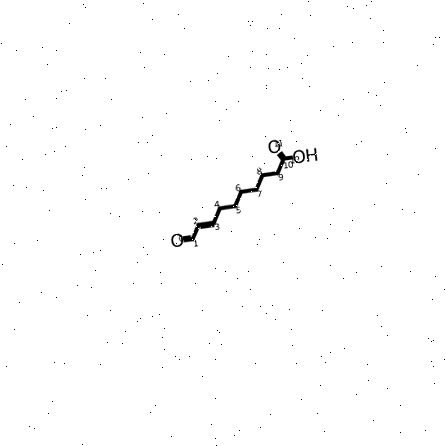 O=CC=CCCCCCCC(=O)O